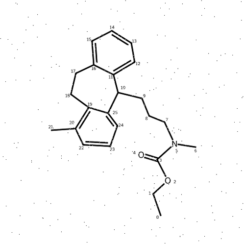 CCOC(=O)N(C)CCCC1c2ccccc2CCc2c(C)cccc21